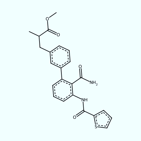 COC(=O)C(C)Cc1cccc(-c2cccc(NC(=O)c3cccs3)c2C(N)=O)c1